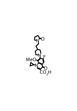 COc1c(N2CCC(CCN3CCCC3=O)CC2)c(F)cc2c(=O)c(C(=O)O)cn(C3CC3)c12